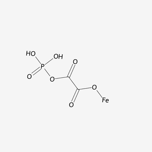 O=C([O][Fe])C(=O)OP(=O)(O)O